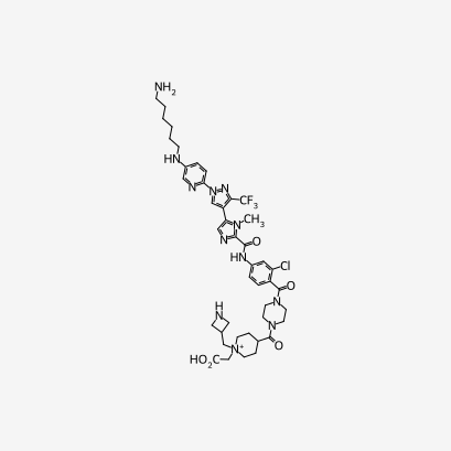 Cn1c(-c2cn(-c3ccc(NCCCCCCN)cn3)nc2C(F)(F)F)cnc1C(=O)Nc1ccc(C(=O)N2CCN(C(=O)C3CC[N+](CC(=O)O)(CC4CNC4)CC3)CC2)c(Cl)c1